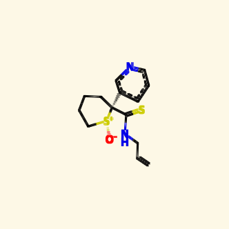 C=CCNC(=S)[C@]1(c2cccnc2)CCCC[S@@+]1[O-]